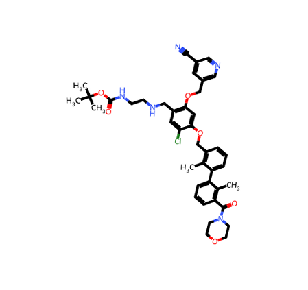 Cc1c(COc2cc(OCc3cncc(C#N)c3)c(CNCCNC(=O)OC(C)(C)C)cc2Cl)cccc1-c1cccc(C(=O)N2CCOCC2)c1C